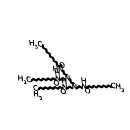 CCCCCCCCCCCC(=O)NCCCN(CCCNC(=O)CCCCCCCCCCC)CCCN(CCCNC(=O)CCCCCCCCCCC)CCCNC(=O)CCCCCCCCCCC